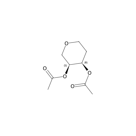 CC(=O)O[C@H]1COCC[C@H]1OC(C)=O